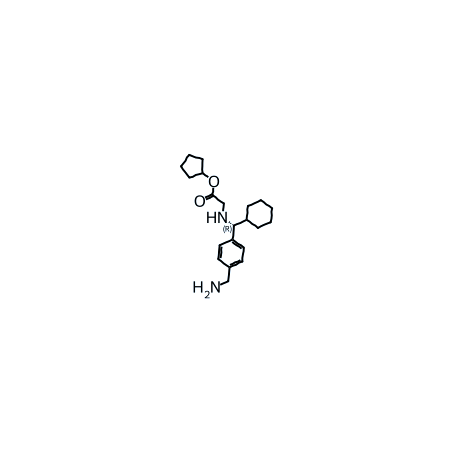 NCc1ccc([C@H](NCC(=O)OC2CCCC2)C2CCCCC2)cc1